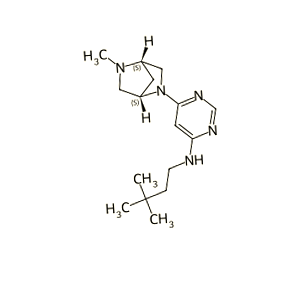 CN1C[C@@H]2C[C@H]1CN2c1cc(NCCC(C)(C)C)ncn1